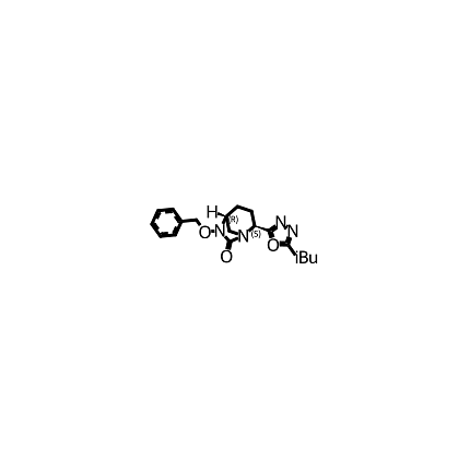 CCC(C)c1nnc([C@@H]2CC[C@@H]3CN2C(=O)N3OCc2ccccc2)o1